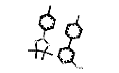 Cc1ccc(-c2ccnc(C=O)c2)cc1.Cc1ccc(B2OC(C)(C)C(C)(C)O2)cc1